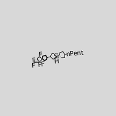 CCCCC[C@H]1CC[C@H]([Si@H]2CC[C@H](c3cc(F)c(OC(F)=C(F)F)c(F)c3)CC2)CC1